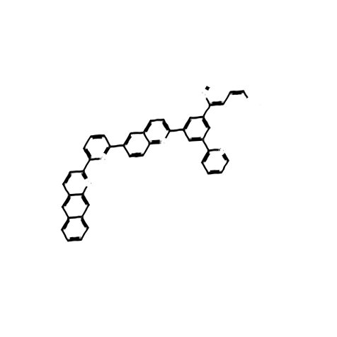 C=N/C(=C\C=C/C)c1cc(-c2ccccn2)cc(-c2ccc3cc(-c4cccc(-c5ccc6cc7ccccc7cc6n5)n4)ccc3n2)c1